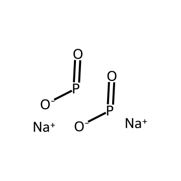 O=P[O-].O=P[O-].[Na+].[Na+]